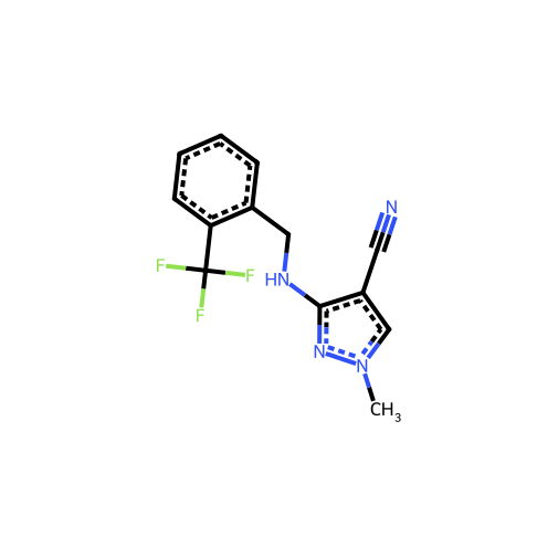 Cn1cc(C#N)c(NCc2ccccc2C(F)(F)F)n1